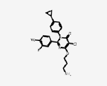 N#Cc1ccc(-c2nc(OCCCN)c(Cl)c(=O)n2-c2ccc(C3CC3)cc2)cc1F